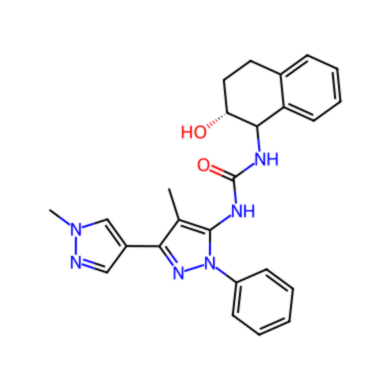 Cc1c(-c2cnn(C)c2)nn(-c2ccccc2)c1NC(=O)NC1c2ccccc2CC[C@H]1O